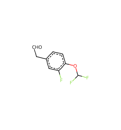 O=CCc1ccc(OC(F)F)c(F)c1